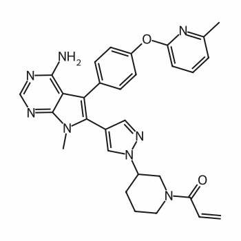 C=CC(=O)N1CCCC(n2cc(-c3c(-c4ccc(Oc5cccc(C)n5)cc4)c4c(N)ncnc4n3C)cn2)C1